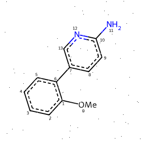 COc1ccccc1-c1ccc(N)nc1